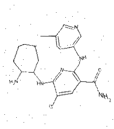 Cc1cncc(Nc2nc(NC3CCCCC3N)c(Cl)cc2C(N)=O)c1